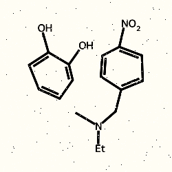 CCN(C)Cc1ccc([N+](=O)[O-])cc1.Oc1ccccc1O